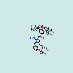 CCCC1CN(CC(=O)c2cc(C(C)(C)C)c(O)c(C(C)(C)C)c2)C(=N)/C1=C/c1cccc(OC)c1